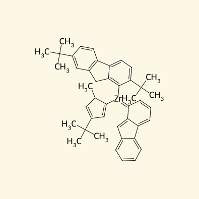 CC1C=C(C(C)(C)C)C=[C]1[Zr]([c]1c(C(C)(C)C)ccc2c1Cc1cc(C(C)(C)C)ccc1-2)=[c]1cccc2c1=Cc1ccccc1-2